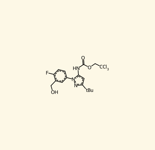 CC(C)(C)c1cc(NC(=O)OCC(Cl)(Cl)Cl)n(-c2ccc(F)c(CO)c2)n1